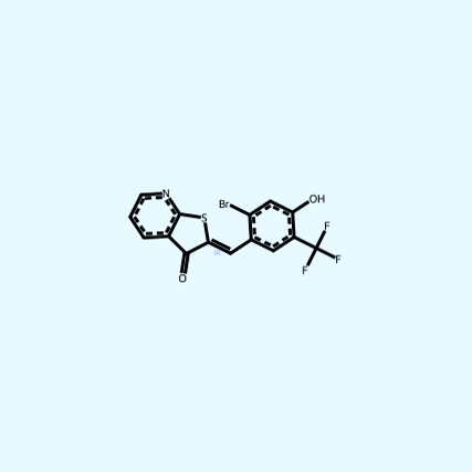 O=C1/C(=C/c2cc(C(F)(F)F)c(O)cc2Br)Sc2ncccc21